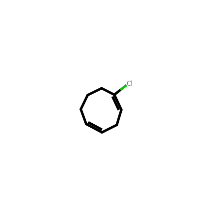 Cl/C1=C/C/C=C\CCC1